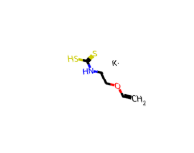 C=COCCNC(=S)S.[K]